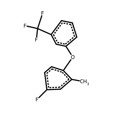 Cc1cc(F)ccc1Oc1cccc(C(F)(F)F)c1